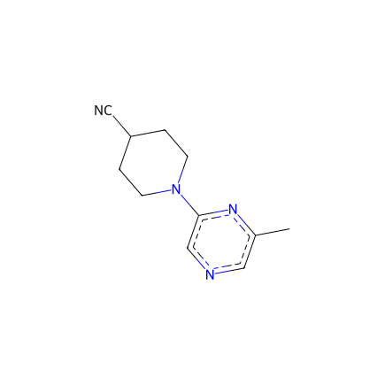 Cc1cncc(N2CCC(C#N)CC2)n1